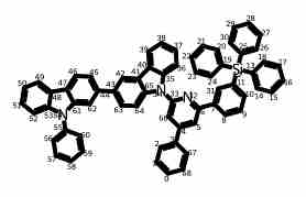 c1ccc(-c2cc(-c3cccc([Si](c4ccccc4)(c4ccccc4)c4ccccc4)c3)nc(-n3c4ccccc4c4cc(-c5ccc6c7ccccc7n(-c7ccccc7)c6c5)ccc43)c2)cc1